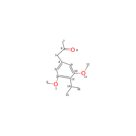 COc1cc(CC(C)=O)cc(OC)c1C(C)C